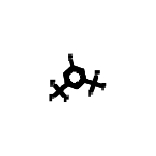 Fc1cc(C(F)(F)F)cc(C(F)(F)F)c1